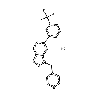 Cl.FC(F)(F)c1cccc(-c2cnc3cnn(Cc4ccncc4)c3c2)c1